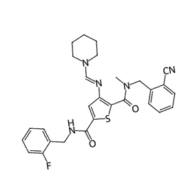 CN(Cc1ccccc1C#N)C(=O)c1sc(C(=O)NCc2ccccc2F)cc1/N=C/N1CCCCC1